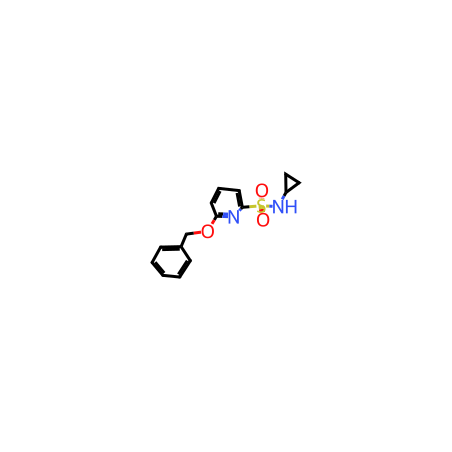 O=S(=O)(NC1CC1)c1cccc(OCc2ccccc2)n1